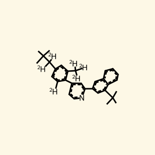 [2H]c1cc(C([2H])([2H])C(C)(C)C)cc(C([2H])([2H])[2H])c1-c1ccnc(-c2cc(C(C)(C)C)c3ccccc3c2)c1